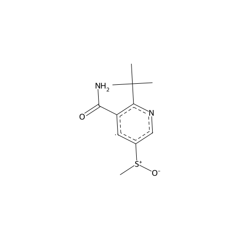 C[S+]([O-])c1[c]c(C(N)=O)c(C(C)(C)C)nc1